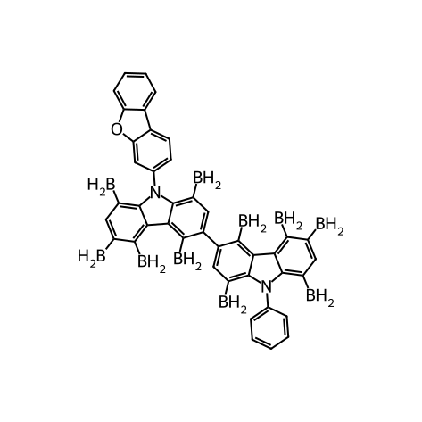 Bc1cc(B)c2c(c1B)c1c(B)c(-c3cc(B)c4c(c3B)c3c(B)c(B)cc(B)c3n4-c3ccc4c(c3)oc3ccccc34)cc(B)c1n2-c1ccccc1